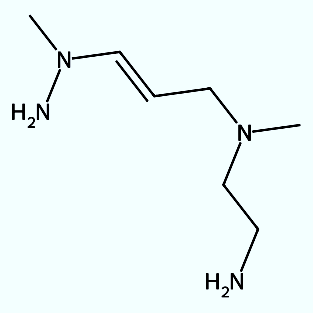 CN(N)/C=C/CN(C)CCN